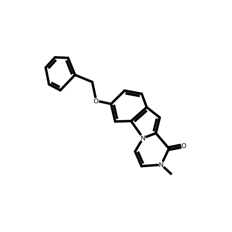 Cn1ccn2c(cc3ccc(OCc4ccccc4)cc32)c1=O